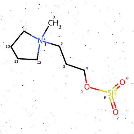 C[N+]1(CCCO[SH](=O)=O)CCCC1